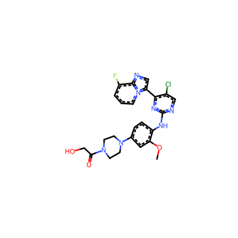 COc1cc(N2CCN(C(=O)CO)CC2)ccc1Nc1ncc(Cl)c(-c2cnc3c(F)cccn23)n1